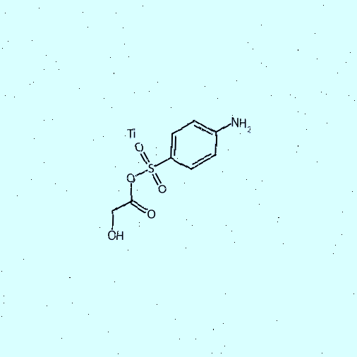 Nc1ccc(S(=O)(=O)OC(=O)CO)cc1.[Ti]